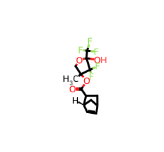 CC1(OC(=O)C2CC3C=C[C@H]2C3)COC(O)(C(F)(F)F)C1(F)F